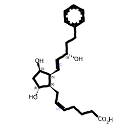 O=C(O)CCC/C=C\C[C@@H]1[C@H](/C=C/[C@@H](O)CCc2ccccc2)[C@H](O)C[C@H]1O